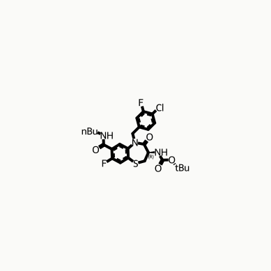 CCCCNC(=O)c1cc2c(cc1F)SC[C@H](NC(=O)OC(C)(C)C)C(=O)N2Cc1ccc(Cl)c(F)c1